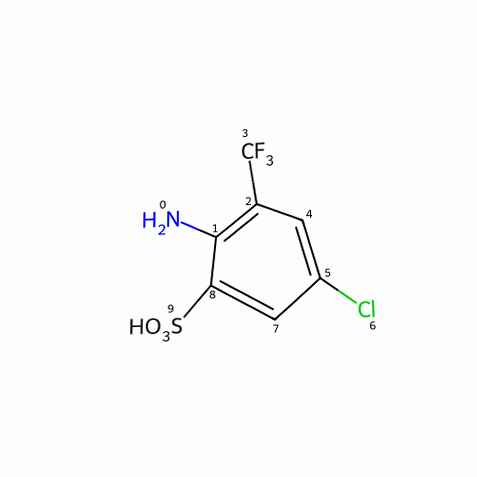 Nc1c(C(F)(F)F)cc(Cl)cc1S(=O)(=O)O